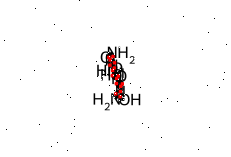 CC(C)(N)C(=O)N1CCN(C(=O)Nc2ccn(-c3ccc(CN4CCC(N)C(CO)C4)cc3)c(=O)n2)CC1.Cl